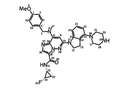 COc1ccc(CN(C)c2cc(N3CCc4c(N5CCNCC5)cccc43)nn3c(C(=O)N[C@@H]4C[C@@H]4F)cnc23)cc1